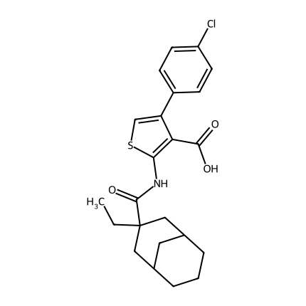 CCC1(C(=O)Nc2scc(-c3ccc(Cl)cc3)c2C(=O)O)CC2CCCC(C2)C1